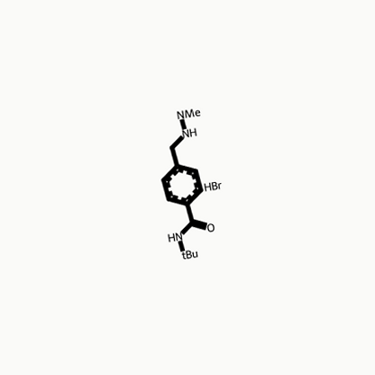 Br.CNNCc1ccc(C(=O)NC(C)(C)C)cc1